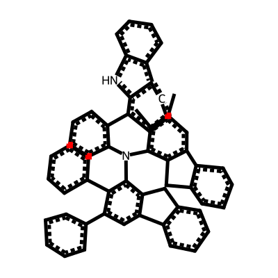 Cc1cc2c(c(N(c3ccccc3-c3cccc4c3[nH]c3ccccc34)c3c4c(cc(-c5ccccc5)c3-c3ccccc3)-c3ccccc3C4)c1C)Cc1ccccc1-2